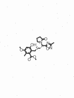 COC(=O)c1c(C)c(OC)cc(O)c1CSC[C@@H](c1nc(C)no1)N1CCCC1=O